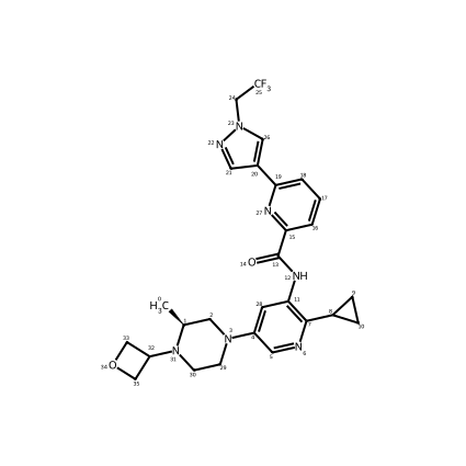 C[C@H]1CN(c2cnc(C3CC3)c(NC(=O)c3cccc(-c4cnn(CC(F)(F)F)c4)n3)c2)CCN1C1COC1